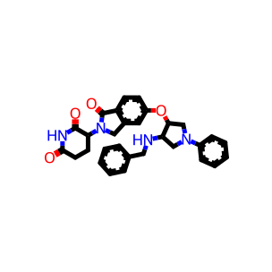 O=C1CCC(N2Cc3cc(OC4CN(c5ccccc5)CC4NCc4ccccc4)ccc3C2=O)C(=O)N1